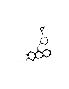 COc1cc2nc3ccccc3c(N[C@@H]3CCCN(C4CC4)C3)c2cc1OC